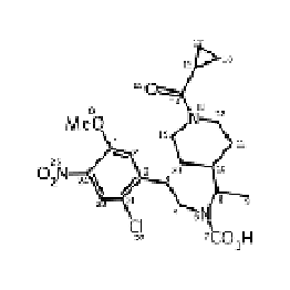 COc1cc(CCN(C(=O)O)C(C)C2CCN(C(=O)C3CC3)CC2)c(Cl)cc1[N+](=O)[O-]